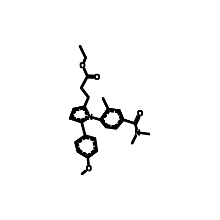 CCOC(=O)CCc1ccc(-c2ccc(OC)cc2)n1-c1ccc(C(=O)N(C)C)cc1C